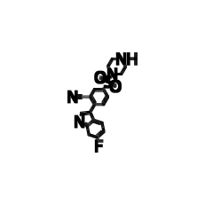 N#Cc1cc(S(=O)(=O)N2CCNCC2)ccc1C1=CN=C2CC(F)=CC=C12